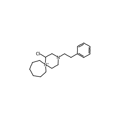 ClC1CN(CCc2ccccc2)CC[N+]12CCCCCC2